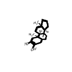 C[C@@]12CCC[C@H]1[C@@H]1CCC3CC(O)=C(O)C[C@]3(C)[C@H]1CC2